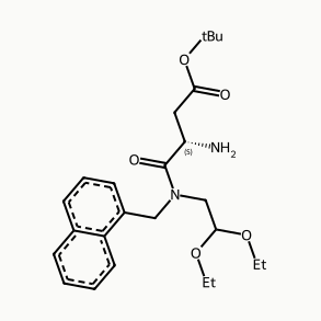 CCOC(CN(Cc1cccc2ccccc12)C(=O)[C@@H](N)CC(=O)OC(C)(C)C)OCC